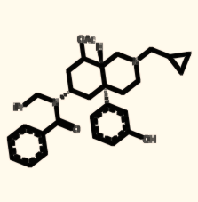 CC(=O)OC1C[C@@H](N(CC(C)C)C(=O)c2ccccc2)C[C@]2(c3cccc(O)c3)CCN(CC3CC3)C[C@@H]12